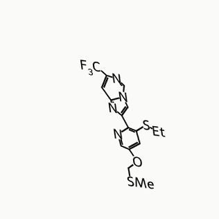 CCSc1cc(OCSC)cnc1-c1cn2cnc(C(F)(F)F)cc2n1